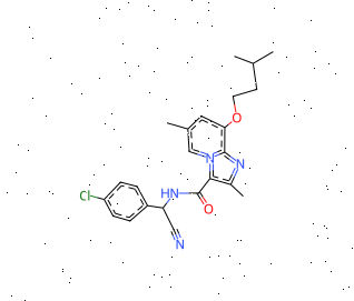 Cc1cc(OCCC(C)C)c2nc(C)c(C(=O)NC(C#N)c3ccc(Cl)cc3)n2c1